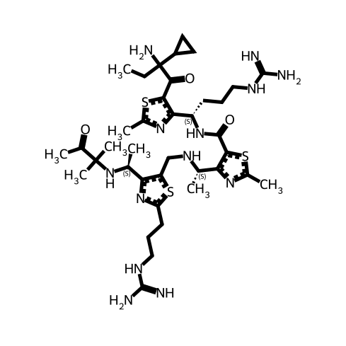 CCC(N)(C(=O)c1sc(C)nc1[C@H](CCCNC(=N)N)NC(=O)c1sc(C)nc1[C@H](C)NCc1sc(CCCNC(=N)N)nc1[C@H](C)NC(C)(C)C(C)=O)C1CC1